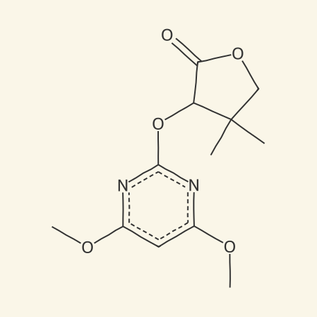 COc1cc(OC)nc(OC2C(=O)OCC2(C)C)n1